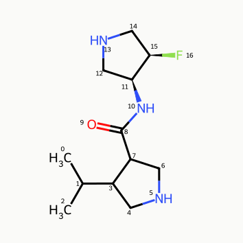 CC(C)C1CNCC1C(=O)N[C@H]1CNC[C@H]1F